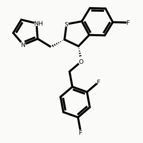 Fc1ccc(CO[C@H]2c3cc(F)ccc3S[C@H]2Cc2ncc[nH]2)c(F)c1